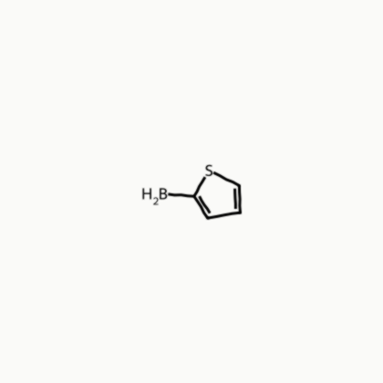 Bc1cccs1